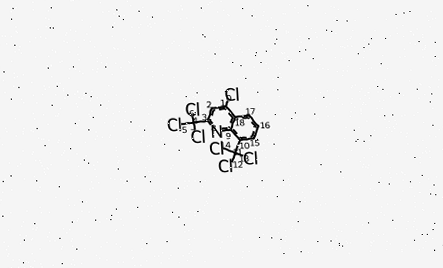 Clc1cc(C(Cl)(Cl)Cl)nc2c(C(Cl)(Cl)Cl)cccc12